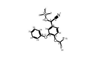 C[Si](C)(C)OC(C#N)c1ccc(OC(F)F)c(Oc2ccccc2)c1